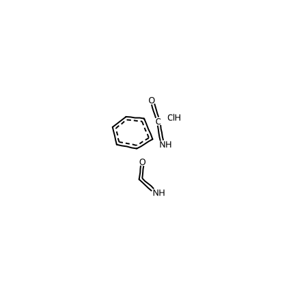 Cl.N=C=O.N=C=O.c1ccccc1